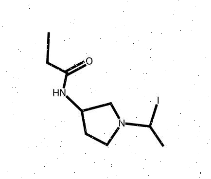 CCC(=O)NC1CCN(C(C)I)C1